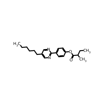 CCCCCCc1cnc(-c2ccc(OC(=O)C(C)CC)cc2)nc1